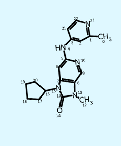 Cc1cc(Nc2cc3c(cn2)n(C)c(=O)n3C2CCCC2)ccn1